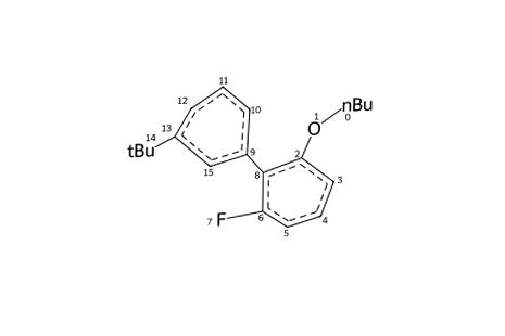 CCCCOc1cccc(F)c1-c1cccc(C(C)(C)C)c1